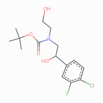 CC(C)(C)OC(=O)N(CCO)CC(O)c1ccc(Cl)c(F)c1